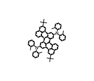 Cc1ccccc1N(c1cc2c3cc(C(C)(C)C)cc4cccc(c43)c3c4cc(N(c5ccccc5C)c5ccccc5C)cc5c6cc(C(C)(C)C)cc7cccc(c76)c(c(c1)c23)c54)c1ccccc1C